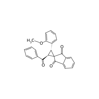 COc1ccccc1[C@H]1[C@H](C(=O)c2ccccc2)C12C(=O)c1ccccc1C2=O